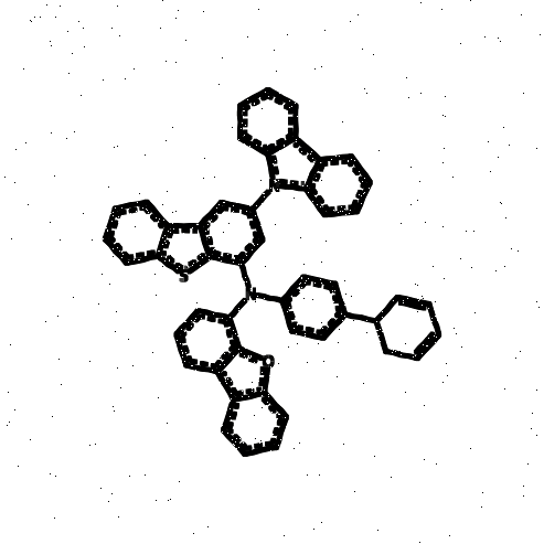 C1=CCC(c2ccc(N(c3cccc4c3oc3ccccc34)c3cc(-n4c5ccccc5c5ccccc54)cc4c3sc3ccccc34)cc2)C=C1